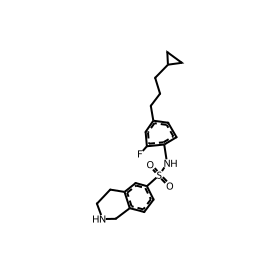 O=S(=O)(Nc1ccc(CCCC2CC2)cc1F)c1ccc2c(c1)CCNC2